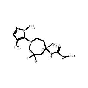 Cn1ncc([N+](=O)[O-])c1N1CC[C@](C)(NC(=O)OC(C)(C)C)CC(F)(F)C1